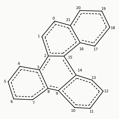 [c]1cc2c3ccccc3c3ccccc3c2c2ccccc12